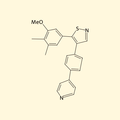 COc1cc(-c2sncc2-c2ccc(-c3ccncc3)cc2)cc(C)c1C